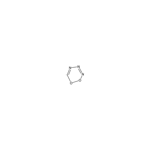 [C]1=NN=NOO1